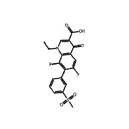 CCn1cc(C(=O)O)c(=O)c2cc(F)c(-c3cccc(S(C)(=O)=O)c3)c(F)c21